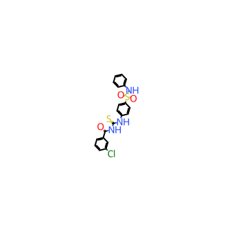 O=C(NC(=S)Nc1ccc(S(=O)(=O)Nc2ccccc2)cc1)c1cccc(Cl)c1